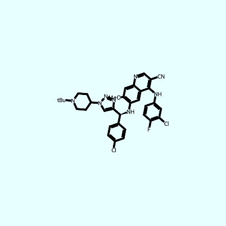 COc1cc2ncc(C#N)c(Nc3ccc(F)c(Cl)c3)c2cc1N[C@@H](c1ccc(Cl)cc1)c1cn(C2CCN(C(C)(C)C)CC2)nn1